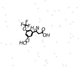 Cl.NC(CC(=O)O)c1cc(Cl)cc(OC(F)(F)F)c1